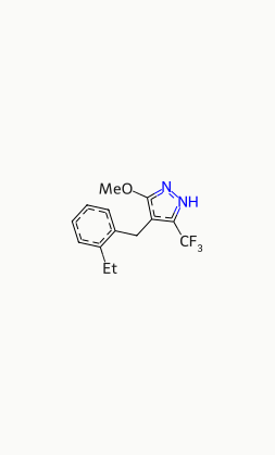 CCc1ccccc1Cc1c(OC)n[nH]c1C(F)(F)F